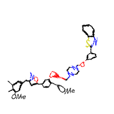 COc1ccc(-c2cc(-c3cc(C)c(C)c(OC)c3)no2)cc1OCN1CCN(COc2cccc(-c3nc4ccccc4s3)c2)CC1